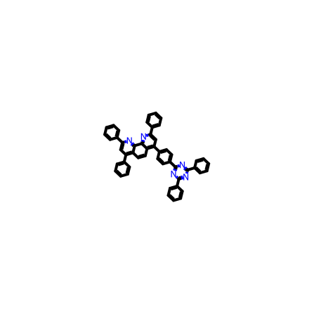 c1ccc(-c2cc(-c3ccccc3)c3ccc4c(-c5ccc(-c6nc(-c7ccccc7)nc(-c7ccccc7)n6)cc5)cc(-c5ccccc5)nc4c3n2)cc1